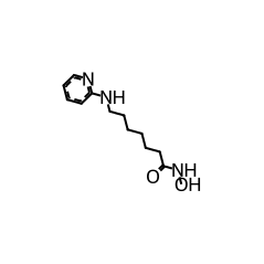 O=C(CCCCCCNc1ccccn1)NO